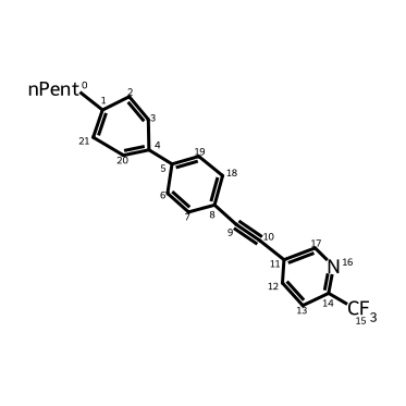 CCCCCc1ccc(-c2ccc(C#Cc3ccc(C(F)(F)F)nc3)cc2)cc1